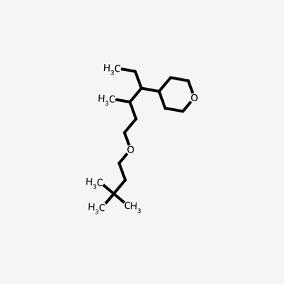 CCC(C(C)CCOCCC(C)(C)C)C1CCOCC1